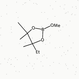 CCC1(C)OB(OC)OC1(C)C